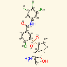 CC[C@](N)(CO)C[C@@H]1CCC(C)C1S(=O)(=O)c1cc(C(=O)Nc2cc(F)c(F)c(F)c2)ccc1Cl